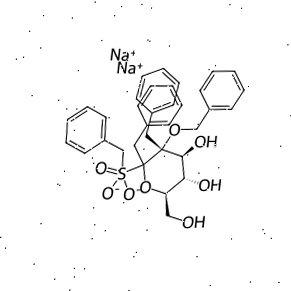 O=S([O-])([O-])(Cc1ccccc1)C1(Cc2ccccc2)O[C@H](CO)[C@@H](O)[C@H](O)[C@@]1(Cc1ccccc1)OCc1ccccc1.[Na+].[Na+]